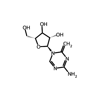 C=C1N=C(N)N=CN1[C@H]1O[C@H](CO)C(O)[C@@H]1O